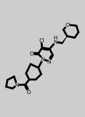 O=C(C1CCC(n2ncc(NC[C@@H]3CCCOC3)c(Cl)c2=O)CC1)N1CCCC1